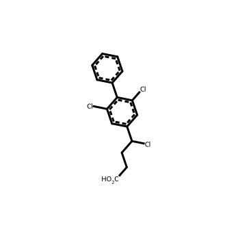 O=C(O)CCC(Cl)c1cc(Cl)c(-c2ccccc2)c(Cl)c1